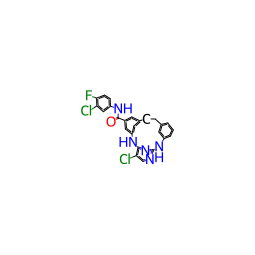 O=C(Nc1ccc(F)c(Cl)c1)c1cc2cc(c1)Nc1nc(ncc1Cl)Nc1cccc(c1)CC2